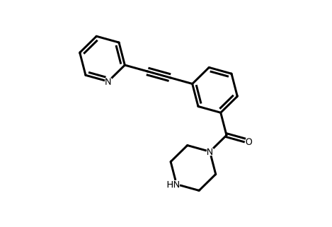 O=C(c1cccc(C#Cc2ccccn2)c1)N1CCNCC1